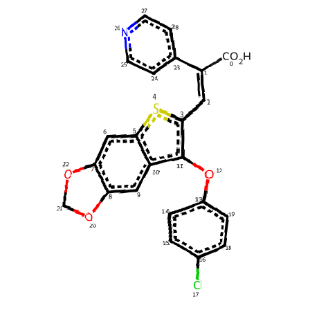 O=C(O)/C(=C/c1sc2cc3c(cc2c1Oc1ccc(Cl)cc1)OCO3)c1ccncc1